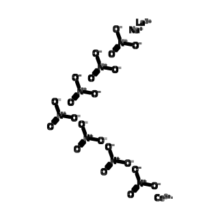 O=[N+]([O-])[O-].O=[N+]([O-])[O-].O=[N+]([O-])[O-].O=[N+]([O-])[O-].O=[N+]([O-])[O-].O=[N+]([O-])[O-].O=[N+]([O-])[O-].[Ce+3].[La+3].[Na+]